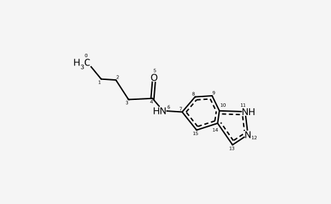 CCCCC(=O)Nc1ccc2[nH]ncc2c1